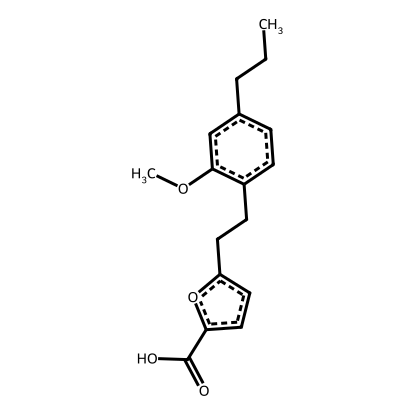 CCCc1ccc(CCc2ccc(C(=O)O)o2)c(OC)c1